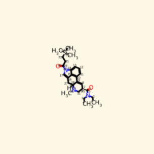 CCN(CC)C(=O)[C@@H]1C=C2c3cccc4c3c(cn4C(=O)CC[Si](C)(C)C)C[C@H]2N(C)C1